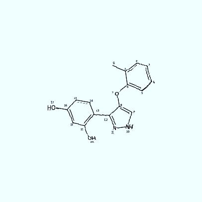 Cc1ccccc1Oc1c[nH]nc1-c1ccc(O)cc1O